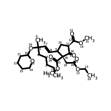 CCCCCC(C)(C=CC1C[C@@H](C(=O)OC)C(=O)[C@]1(CC(=O)OCC)C(=O)OC)OC1CCCCO1